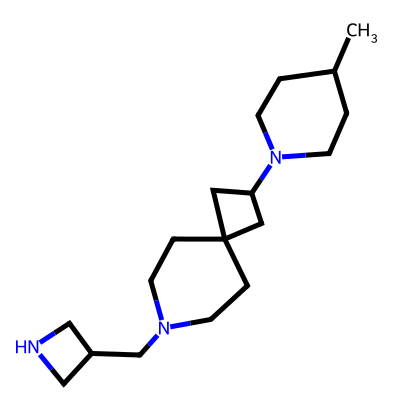 CC1CCN(C2CC3(CCN(CC4CNC4)CC3)C2)CC1